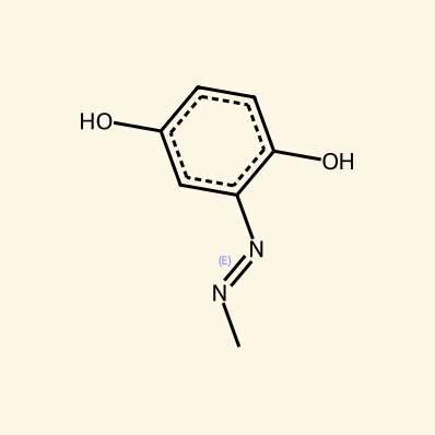 C/N=N/c1cc(O)ccc1O